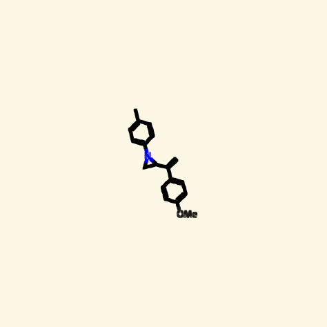 C=C(c1ccc(OC)cc1)C1CN1c1ccc(C)cc1